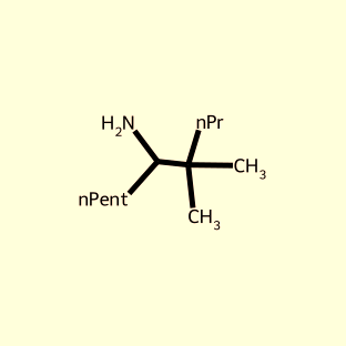 CCCCCC(N)C(C)(C)CCC